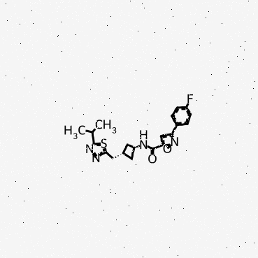 CC(C)c1nnc(C[C@H]2C[C@H](NC(=O)c3cc(-c4ccc(F)cc4)no3)C2)s1